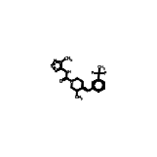 CC1CN(C(=O)Nc2nnnn2C)CC/C1=C\c1cccc(C(C)(F)F)c1